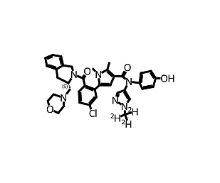 [2H]C([2H])([2H])n1cc(N(C(=O)c2cc(-c3cc(Cl)ccc3C(=O)N3Cc4ccccc4C[C@H]3CN3CCOCC3)n(C)c2C)c2ccc(O)cc2)cn1